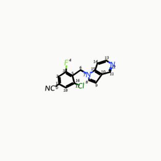 N#Cc1cc(F)c(Cn2ccc3cnccc32)c(Cl)c1